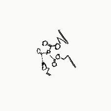 C=CCOC(=O)P(C(=O)OCC=C)C(=O)OCC=C